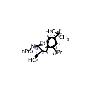 C#CC(Cc1ccc(C(C)(C)F)cc1C(C)C)/C(CC)=N\CCC